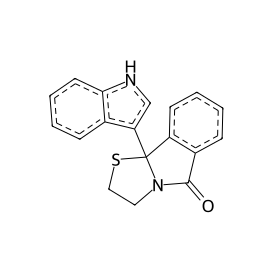 O=C1c2ccccc2C2(c3c[nH]c4ccccc34)SCCN12